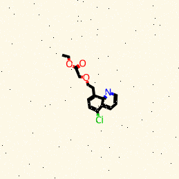 CCOC(=O)COCCc1ccc(Cl)c2cccnc12